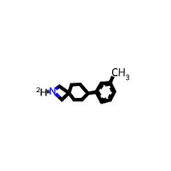 [2H]N1CC2(CCC(c3cccc(C)c3)CC2)C1